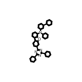 c1ccc(-c2cccc(N(c3ccccc3)c3cccc4c3oc3cc(-c5nc(-c6ccccc6)nc(-c6ccccc6)n5)ccc34)c2)cc1